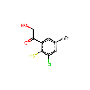 CCCc1cc(Cl)c(S)c(C(=O)CO)c1